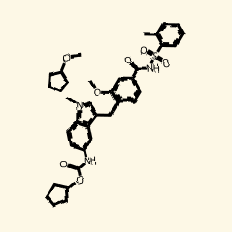 COC1CCCC1.COc1cc(C(=O)NS(=O)(=O)c2ccccc2C)ccc1Cc1cn(C)c2ccc(NC(=O)OC3CCCC3)cc12